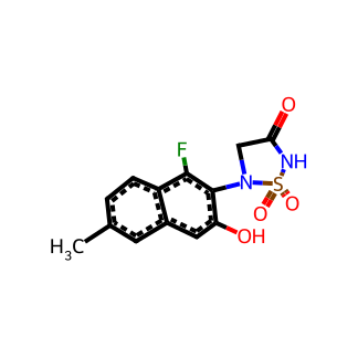 Cc1ccc2c(F)c(N3CC(=O)NS3(=O)=O)c(O)cc2c1